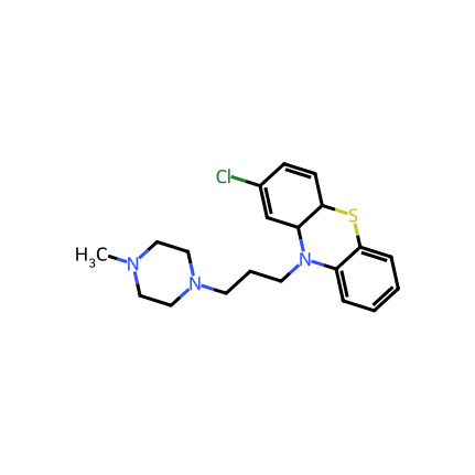 CN1CCN(CCCN2c3ccccc3SC3C=CC(Cl)=CC32)CC1